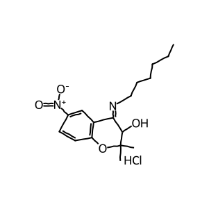 CCCCCC/N=C1/c2cc([N+](=O)[O-])ccc2OC(C)(C)C1O.Cl